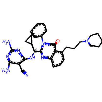 N#Cc1c(N)nc(N)nc1N[C@H](c1nc2cccc(CCCN3CCCCC3)c2c(=O)n1-c1ccccc1)C1CC1